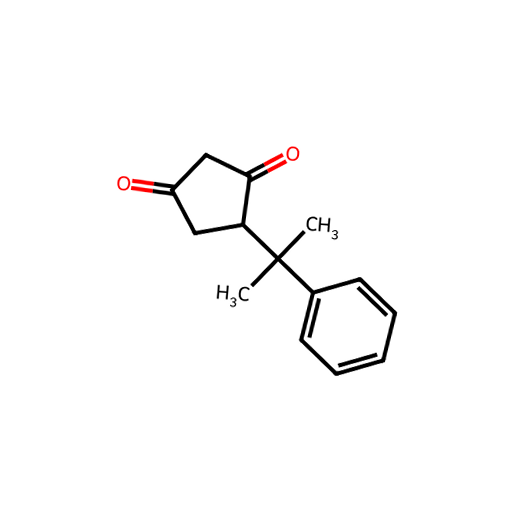 CC(C)(c1ccccc1)C1CC(=O)CC1=O